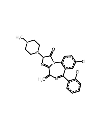 C=C1N=C(c2ccccc2Cl)c2cc(Cl)ccc2N2C(=O)C(N3CCN(C)CC3)N=C12